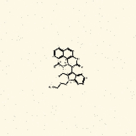 CCc1c(C2C(=O)Nc3ccc4ccccc4c3N2OC(C)=O)c2ccccc2n1CCCN